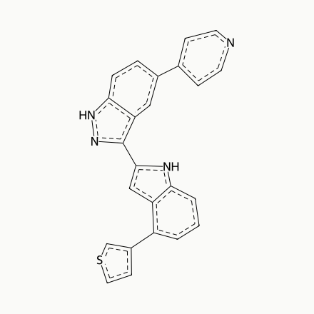 c1cc(-c2ccsc2)c2cc(-c3n[nH]c4ccc(-c5ccncc5)cc34)[nH]c2c1